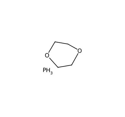 C1COCCO1.P